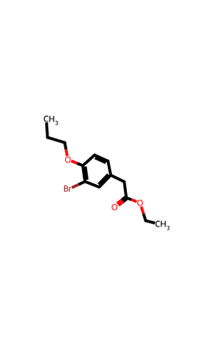 CCCOc1ccc(CC(=O)OCC)cc1Br